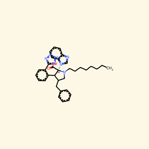 CCCCCCCCN1CC(Cc2ccccc2)C(c2ccccc2-c2nn[nH]n2)[C@]1(C(=O)O)n1cnc2ccccc21